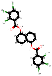 O=C(Oc1cccc2c(OC(=O)c3ccc(F)c(F)c3F)cccc12)c1ccc(F)c(F)c1F